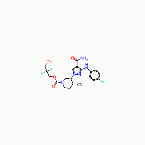 N#C[C@@H]1CCN(C(=O)OCC(F)(F)CO)CC1n1cc(C(N)=O)c(Nc2ccc(F)cc2)n1